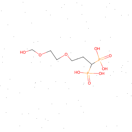 O=P(O)(O)C(CCOCCOCO)P(=O)(O)O